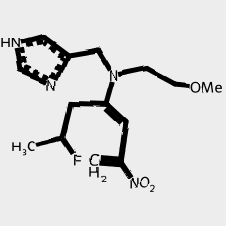 C=C(/C=C(\CC(C)F)N(CCOC)Cc1c[nH]cn1)[N+](=O)[O-]